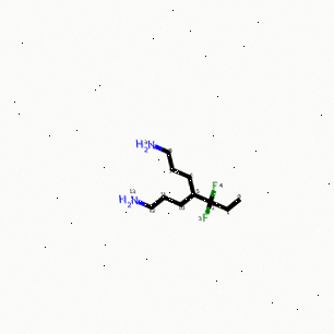 CCC(F)(F)C(CCCN)CCCN